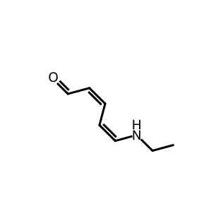 CCN/C=C\C=C/C=O